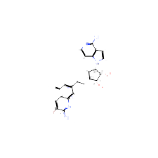 C=C/C=C(\C=C1/CC=C(Br)C(N)=N1)CC[C@H]1C[C@@H](n2ccc3c(N)nccc32)[C@H](O)[C@@H]1O